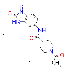 CC(=O)N1CCC(C(=O)Nc2ccc3[nH]c(=O)[nH]c3c2)CC1